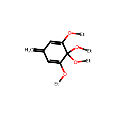 C=C1C=C(OCC)C(OCC)(OCC)C(OCC)=C1